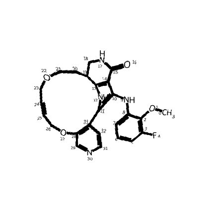 COc1c(F)cccc1Nc1c2[nH]c3c1C(=O)NCC3CCOC/C=C\COc1cnccc1-2